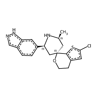 C[C@H]1C[C@@]2(C[C@@H](c3ccc4cn[nH]c4c3)N1)OCCc1cc(Cl)sc12